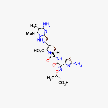 CNC1C(C)=C(N)N=C(SCC2=C(C(=O)O)N3C(=O)C(NC(=O)/C(=N\OC(C)CC(=O)O)c4csc(N)n4)[C@@H]3SC2)N1N